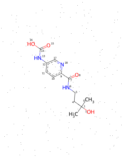 CC(C)(O)CCNC(=O)c1ccc(NC(=O)O)cn1